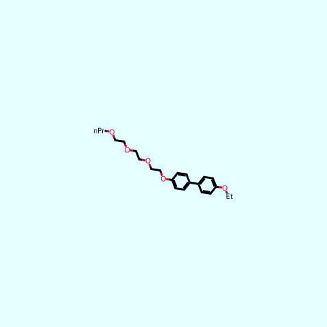 CCCOCCOCCOCCOc1ccc(-c2ccc(OCC)cc2)cc1